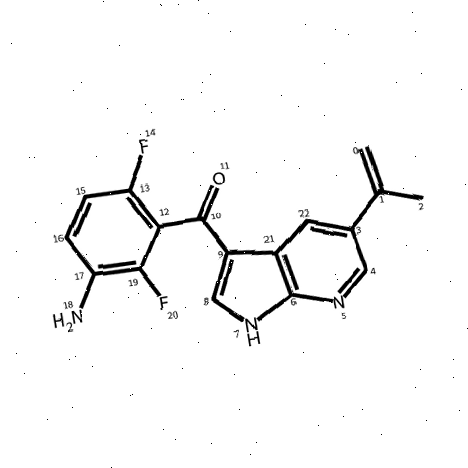 C=C(C)c1cnc2[nH]cc(C(=O)c3c(F)ccc(N)c3F)c2c1